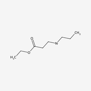 CCC[N]CCC(=O)OCC